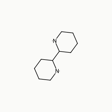 C1CCC(C2CCCC[N]2)[N]C1